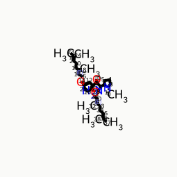 CCN1CCCC1C(N)C(=O)c1cc(OC/C=C(\C)CCC=C(C)C)ccc1OC/C=C(\C)CCC=C(C)C